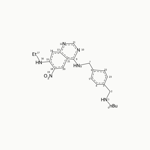 CCCCNCc1ccc(CNc2ncnc3cc(NCC)c([N+](=O)[O-])cc23)cc1